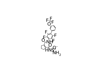 N[S+]([O-])NC(=O)C1=C(C(=O)Nc2c(F)c(F)c(-c3cccc(OC(F)(F)F)c3)c(F)c2F)CCC1